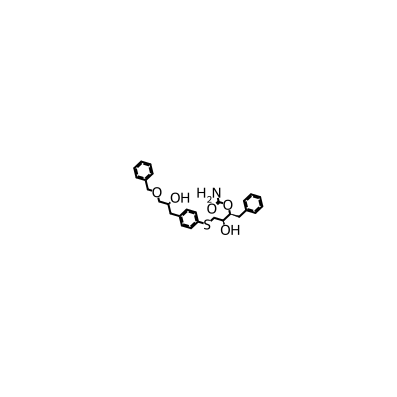 NC(=O)O[C@@H](Cc1ccccc1)[C@@H](O)CSc1ccc(C[C@H](O)COCc2ccccc2)cc1